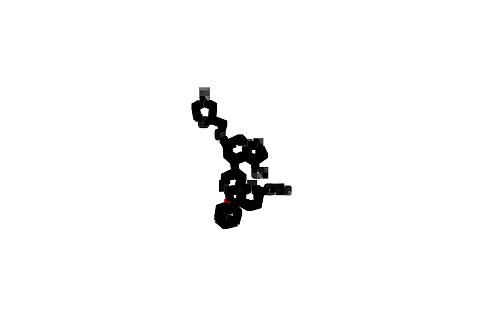 COc1ccc(CN2C3CC2CN(c2ccc(-c4cc(OCC5CNCCO5)cn5ncc(C#N)c45)cn2)C3)cn1